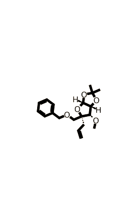 C=CC[C@]1(COCc2ccccc2)O[C@@H]2OC(C)(C)O[C@@H]2[C@@H]1OC